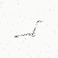 CCCCCCCCCCCCCCCCOC1CCCOC1COCCCCCCCO